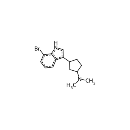 CN(C)C1CCC(c2c[nH]c3c(Br)cccc23)C1